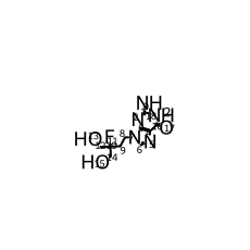 Nc1nc2c(ncn2CCC(F)(CO)CO)c(=O)[nH]1